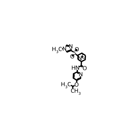 CC(C)Oc1ccc(NC(=O)C2CC3CCC2N(S(=O)(=O)c2cn(C)cn2)C3)nc1